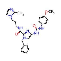 Cc1nccn1CCCNC(=O)c1nc(NC(=O)Nc2ccc(OC(F)(F)F)cc2)cn1Cc1ccccc1